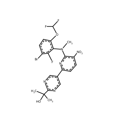 CN(c1nc(-c2cnc(C(C)(C)O)nc2)ccc1[N+](=O)[O-])c1c(OC(F)F)ccc(Br)c1F